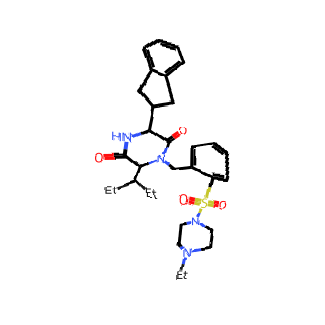 CCC(CC)C1C(=O)NC(C2Cc3ccccc3C2)C(=O)N1Cc1ccccc1S(=O)(=O)N1CCN(CC)CC1